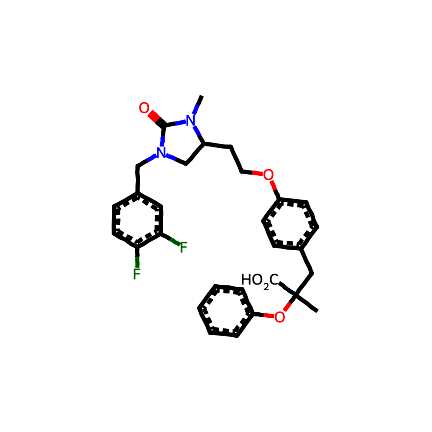 CN1C(=O)N(Cc2ccc(F)c(F)c2)CC1CCOc1ccc(CC(C)(Oc2ccccc2)C(=O)O)cc1